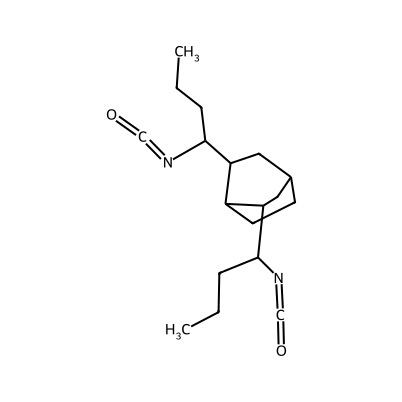 CCCC(N=C=O)C1CC2CCC1C(C(CCC)N=C=O)C2